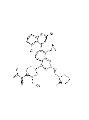 C=C(F)C(=O)N1CCN(c2nc(OCC3CCCN3C)nc3c(C4CC4)c(-c4cc(O)cc5cccc(Cl)c45)cnc23)CC1CC#N